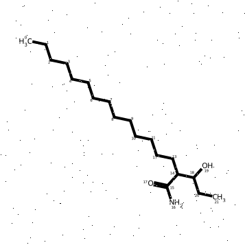 CCCCCCCCCCCCCCC(C(N)=O)C(O)CC